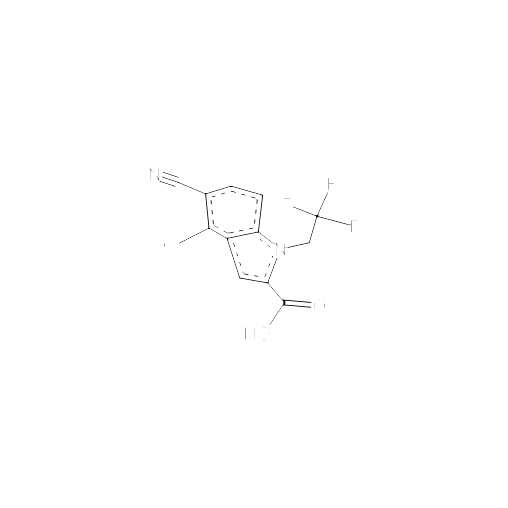 N#Cc1ccc2c(cc(C(=O)O)n2CC(F)(F)F)c1Cl